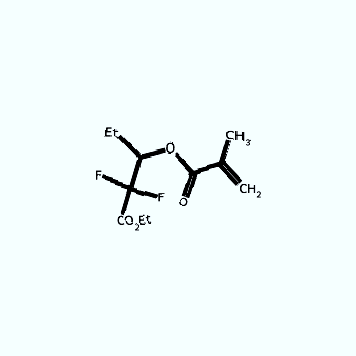 C=C(C)C(=O)OC(CC)C(F)(F)C(=O)OCC